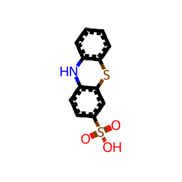 O=S(=O)(O)c1ccc2c(c1)Sc1ccccc1N2